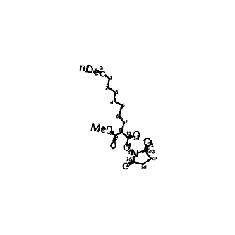 CCCCCCCCCCCCCCCCCC(C(=O)OC)C(=O)ON1C(=O)CCC1=O